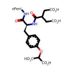 CCCCCNC(=O)[C@H](Cc1ccc(OC(C(=O)O)C(=O)O)cc1)NC(=O)C(CC(=O)O)CC(=O)O